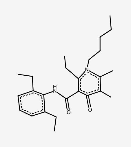 CCCCCn1c(C)c(C)c(=O)c(C(=O)Nc2c(CC)cccc2CC)c1CC